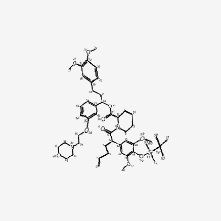 CCCCC(C(=O)N1CCCCC1C(=O)O[C@H](CCc1ccc(OC)c(OC)c1)c1cccc(OCCN2CCOCC2)c1)c1cc(OC)c(O[Si](C)(C)C(C)(C)C)c(OC)c1